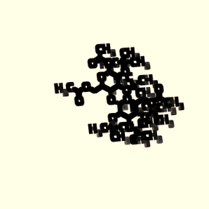 CC(=O)OCC1OC(OC(C)=O)C(O[Si](C)(C)C)C(O[Si](C)(C)C)[C@@H]1O[C@@H]1OC(COC(C)=O)[C@H](O[Si](C)(C)C)C(O[Si](C)(C)C)C1O[Si](C)(C)C